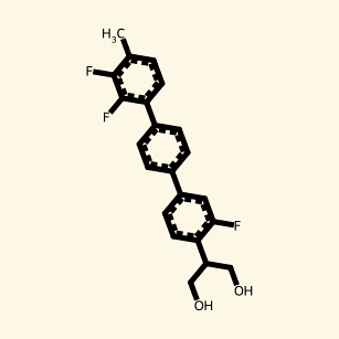 Cc1ccc(-c2ccc(-c3ccc(C(CO)CO)c(F)c3)cc2)c(F)c1F